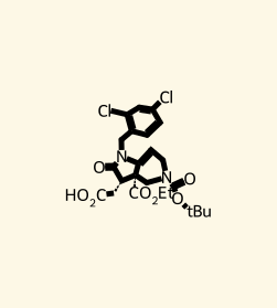 CCOC(=O)[C@@]12CN(C(=O)OC(C)(C)C)CC=C1N(Cc1ccc(Cl)cc1Cl)C(=O)[C@H]2CC(=O)O